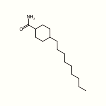 CCCCCCCCCC1CCC(C(N)=O)CC1